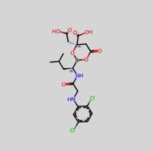 CC(C)C[C@H](NC(=O)CNc1cc(Cl)ccc1Cl)B1OC(=O)C[C@](CC(=O)O)(C(=O)O)O1